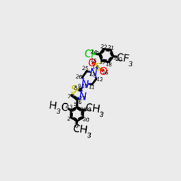 Cc1cc(C)c(-c2csc(N3CCN(S(=O)(=O)c4cc(C(F)(F)F)ccc4Cl)CC3)n2)c(C)c1